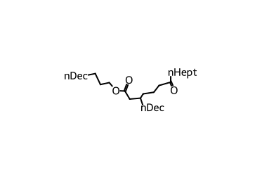 CCCCCCCCCCCCCOC(=O)CC(CCCCCCCCCC)CCCC(=O)CCCCCCC